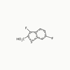 O=C(O)c1sc2cc(F)ccc2c1F